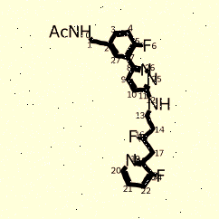 CC(=O)NCc1ccc(F)c(-c2ccc(NCC[C@H](F)Cc3ncccc3F)nn2)c1